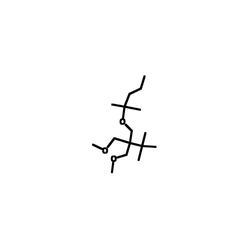 CCCC(C)(C)OCC(COC)(COC)C(C)(C)C